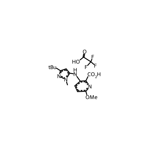 COc1ccc(Nc2cc(C(C)(C)C)nn2C)c(C(=O)O)n1.O=C(O)C(F)(F)F